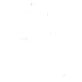 COCCOC(=O)C1=C(C)NC(C)=C(C(=O)OC(C)C)C1c1c(F)cccc1F